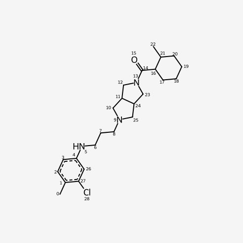 Cc1ccc(NCCCN2CC3CN(C(=O)C4CCCCC4C)CC3C2)cc1Cl